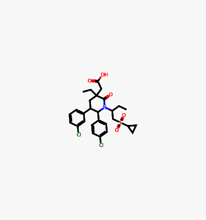 CCC(CS(=O)(=O)C1CC1)N1C(=O)C(CC)(CC(=O)O)CC(c2cccc(Cl)c2)C1c1ccc(Cl)cc1